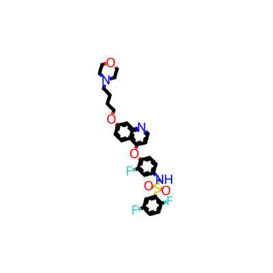 O=S(=O)(Nc1ccc(Oc2ccnc3cc(OCCCCN4CCOCC4)ccc23)c(F)c1)c1cc(F)ccc1F